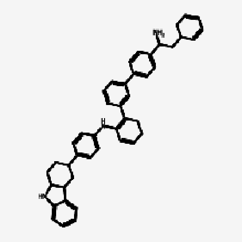 NC(CC1C=CC=CC1)c1ccc(-c2cccc(C3=C(Nc4ccc(C5CCC6Nc7ccccc7C6C5)cc4)C=CCC3)c2)cc1